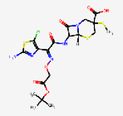 CSC1(C(=O)O)CS[C@@H]2C(NC(=O)C(=NOCC(=O)OC(C)(C)C)c3nc(N)sc3Cl)C(=O)N2C1